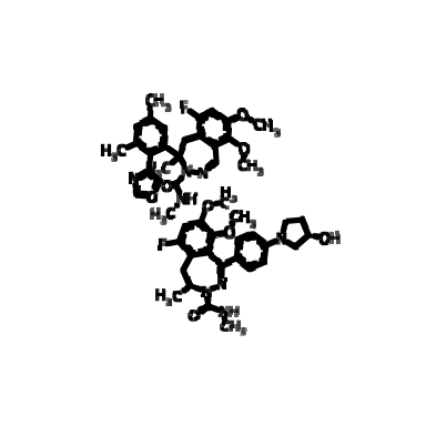 CNC(=O)N1N=C(c2ccc(N3CC[C@@H](O)C3)cc2)c2c(c(F)cc(OC)c2OC)CC1C.CNC(=O)N1N=Cc2c(c(F)cc(OC)c2OC)CC1(C)c1cc(C)cc(C)c1-c1cocn1